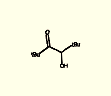 CC(C)(C)C(=O)C(O)C(C)(C)C